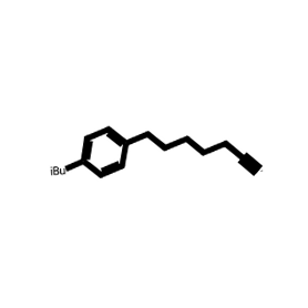 [C]#CCCCCCc1ccc(C(C)CC)cc1